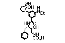 CCNc1cc(C(=O)N[C@@H](Cc2ccccc2)[C@H](O)CNC(=O)O)cc(N2CCCS2(O)O)c1